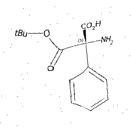 CC(C)(C)OC(=O)[C@@](N)(C(=O)O)c1ccccc1